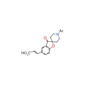 CC(=O)N1CCC2(CC1)Oc1ccc(C=CC(=O)O)cc1C2=O